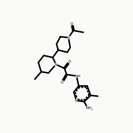 CC(=O)N1CCC(C2CCC(C)CN2C(=O)C(=O)Nc2cnc(N)c(C)c2)CC1